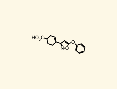 O=C(O)C1CC=C(c2cc(Oc3ccccc3)on2)CC1